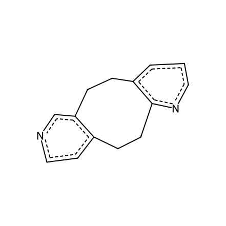 c1cnc2c(c1)CCc1cnccc1CC2